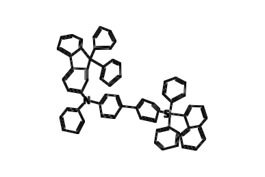 c1ccc(N(c2ccc(-c3ccc([Si](c4ccccc4)(c4ccccc4)c4cccc5ccccc45)cc3)cc2)c2ccc3c(c2)C(c2ccccc2)(c2ccccc2)c2ccccc2-3)cc1